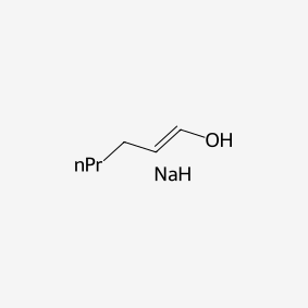 CCCCC=CO.[NaH]